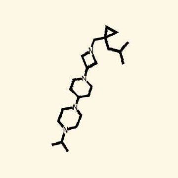 CC(C)CC1(CN2CC(N3CCC(N4CCN(C(C)C)CC4)CC3)C2)CC1